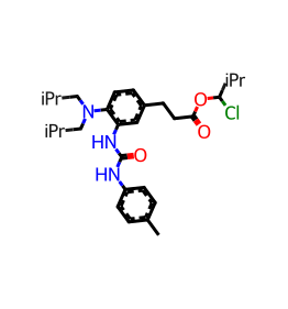 Cc1ccc(NC(=O)Nc2cc(CCC(=O)OC(Cl)C(C)C)ccc2N(CC(C)C)CC(C)C)cc1